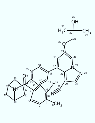 Cc1ccc(C(=O)N2C3CC2CN(c2ccc(-c4cc(OCC(C)(C)O)cn5ncc(C#N)c45)cn2)C3)cc1F